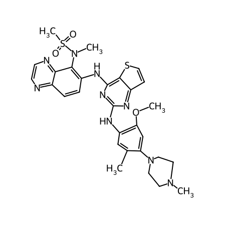 COc1cc(N2CCN(C)CC2)c(C)cc1Nc1nc(Nc2ccc3nccnc3c2N(C)S(C)(=O)=O)c2sccc2n1